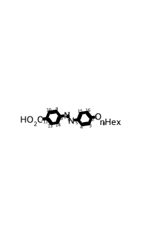 CCCCCCOc1ccc(N=Nc2ccc(C(=O)O)cc2)cc1